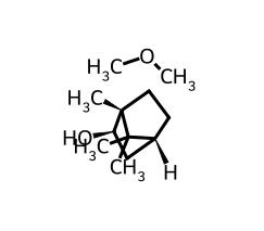 CC1(C)[C@@H]2CC[C@@]1(C)[C@H](O)C2.COC